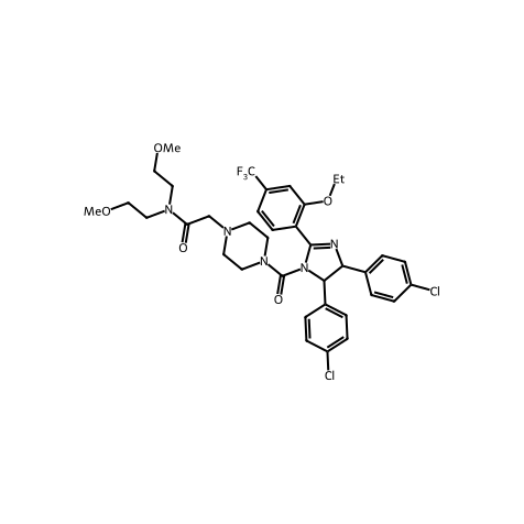 CCOc1cc(C(F)(F)F)ccc1C1=NC(c2ccc(Cl)cc2)C(c2ccc(Cl)cc2)N1C(=O)N1CCN(CC(=O)N(CCOC)CCOC)CC1